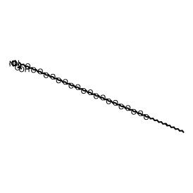 CCCCCCCCC=CCCCCCCCCOCCOCCOCCOCCOCCOCCOCCOCCOCCOCCOCCOCCOCCOCCOCCOCCOCCOCCOCCOCCC(CN1CCN(C)CC1)C(=O)O